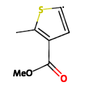 COC(=O)c1c[c]sc1C